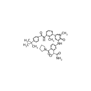 Cc1c(NC(=O)c2ccc(C(C)(C)C)cc2)cccc1-c1cc(Nc2ccc(C(=O)N3CCCC3)c(C(Cl)C(N)=O)c2)c(=O)n(C)c1